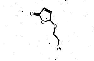 CC(C)CCOC1C=CC(=O)O1